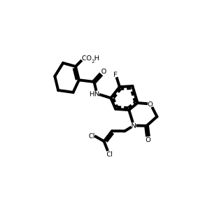 O=C(O)C1=C(C(=O)Nc2cc3c(cc2F)OCC(=O)N3CC=C(Cl)Cl)CCCC1